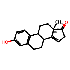 C[C@]12CCC3c4ccc(O)cc4CCC3C1=CCC2=O